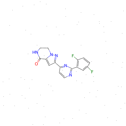 O=C1NCCn2nc(-c3ccnc(-c4cc(F)ccc4F)n3)cc21